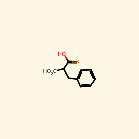 O=C(O)C(Cc1ccccc1)C(O)=S